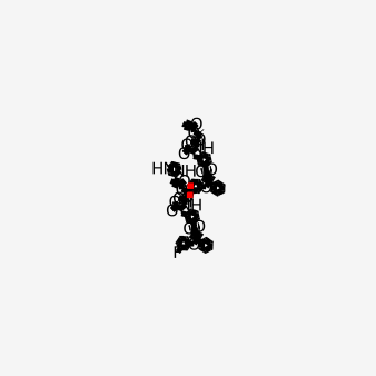 C1CNCCN1.C[C@H](OC(=O)N[C@@H](Cc1cccc(S(=O)(=O)N2CC(Oc3cccc(F)c3)(c3ccccc3)C2)c1)C(=O)O)OC(=O)C(C)(C)C.C[C@H](OC(=O)N[C@@H](Cc1cccc(S(=O)(=O)N2CC(Oc3cccc(F)c3)(c3ccccc3)C2)c1)C(=O)O)OC(=O)C(C)(C)C